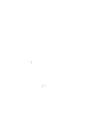 C[Si](C)(C)c1cc[c]cc1.[Pt]